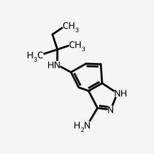 CCC(C)(C)Nc1ccc2[nH]nc(N)c2c1